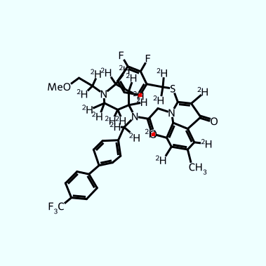 [2H]c1c(C)c([2H])c2c(=O)c([2H])c(SC([2H])([2H])c3cccc(F)c3F)n(CC(=O)N(C([2H])([2H])c3ccc(-c4ccc(C(F)(F)F)cc4)cc3)C3([2H])C([2H])([2H])C([2H])([2H])N(C([2H])([2H])COC)C([2H])([2H])C3([2H])[2H])c2c1[2H]